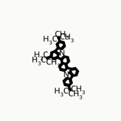 CC(C)(C)c1ccc2c(c1)c1cccc3c4c5ccc6c(c5ccc4n2c13)c1cc(C(C)(C)C)cc2c3cc(C(C)(C)C)ccc3n6c21